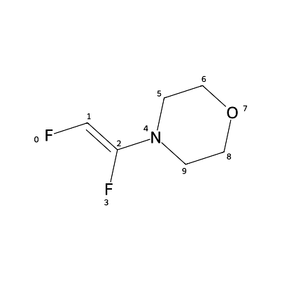 F/C=C(\F)N1CCOCC1